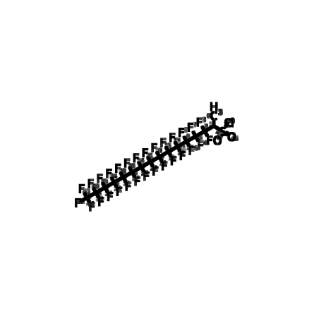 CC(C(F)(F)C(F)(F)C(F)(F)C(F)(F)C(F)(F)C(F)(F)C(F)(F)C(F)(F)C(F)(F)C(F)(F)C(F)(F)C(F)(F)C(F)(F)C(F)(F)F)S(=O)(=O)Cl